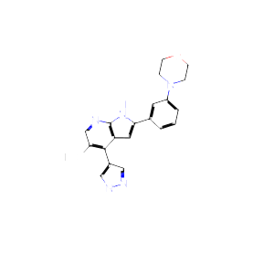 FC(F)(F)c1cnc2[nH]c(-c3cccc(N4CCOCC4)c3)cc2c1-c1cn[nH]c1